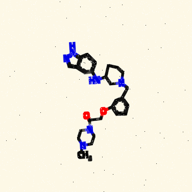 CN1CCN(C(=O)COc2cccc(CN3CCCC(Nc4ccc5[nH]ncc5c4)C3)c2)CC1